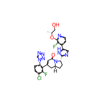 C[C@H](CO)Oc1nccc(-c2cnc([C@@H]3CC[C@@H]4CC(c5c(-n6cnnn6)ccc(Cl)c5F)=CC(=O)N43)[nH]2)c1F